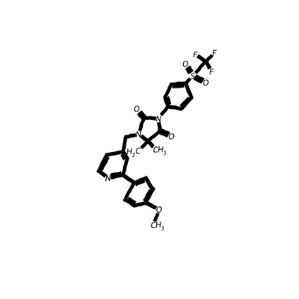 COc1ccc(-c2cc(CN3C(=O)N(c4ccc(S(=O)(=O)C(F)(F)F)cc4)C(=O)C3(C)C)ccn2)cc1